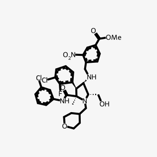 COC(=O)c1ccc(CN[C@@H]2[C@H](CO)N(CC3CCOCC3)[C@@](C)(C(=O)Nc3cccc(Cl)c3)[C@H]2c2cccc(Cl)c2F)c([N+](=O)[O-])c1